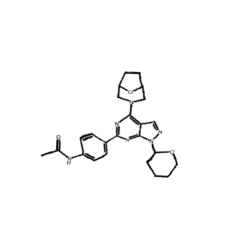 CC(=O)Nc1ccc(-c2nc(N3CC4CCC(C3)O4)c3cnn(C4CCCCO4)c3n2)cc1